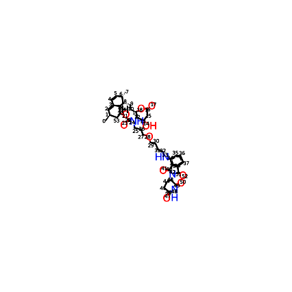 C[C@H]1C=C2C=C[C@H](C)[C@H](CC[C@@H]3C[C@@H](O)CC(=O)O3)[C@H]2[C@@H](OC(=O)NCCCOCCCCNc2cccc3c2C(=O)N(C2CCC(=O)NC2=O)C3=O)C1